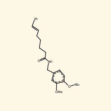 COc1cc(CNC(=O)CCCC/C=C/C(C)C)ccc1OC(C)(C)C